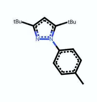 Cc1ccc(-n2nc(C(C)(C)C)cc2C(C)(C)C)cc1